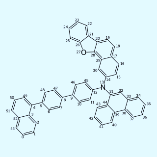 c1ccc2c(-c3ccc(-c4ccc(N(c5ccc6ccc7c8ccccc8oc7c6c5)c5cc6ccccc6c6ccccc56)cc4)cc3)cccc2c1